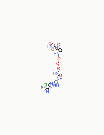 Cn1ncc(-c2nc(NC3CCC(NCC(=O)NCCOCCOCCOCCNc4cccc5c4CN(C4CCC(=O)NC4=O)C5=O)CC3)ncc2Cl)c1CC1CC1